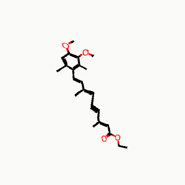 CCOC(=O)/C=C(C)/C=C/C=C(C)/C=C/c1c(C)cc(OC)c(OC)c1C